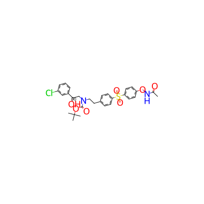 CC(=O)NOc1ccc(S(=O)(=O)c2ccc(CCN(C[C@H](O)c3cccc(Cl)c3)C(=O)OC(C)(C)C)cc2)cc1